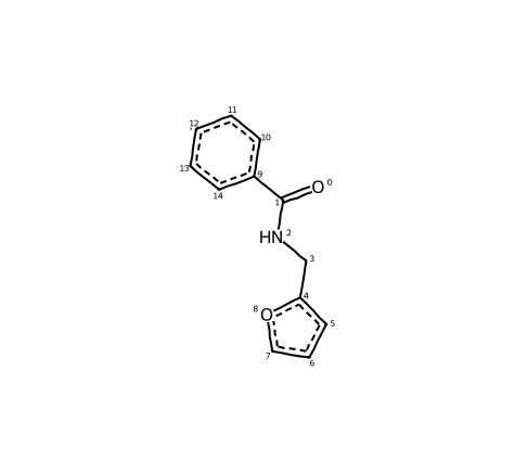 O=C(NCc1ccco1)c1cc[c]cc1